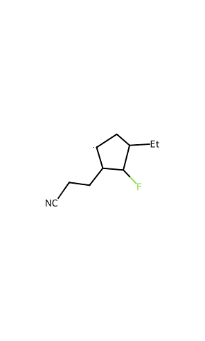 [CH2]CC1C[CH]C(CCC#N)C1F